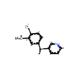 CCc1ccc(C(C)c2cccnc2)cc1OC